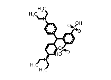 CCN(CC)c1ccc(C(c2cc(S(=O)(=O)O)ccc2S(=O)(=O)O)C2C=CC(=[N+](CC)CC)C=C2)cc1